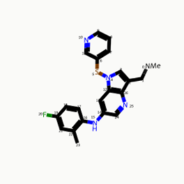 CNCc1cn(Sc2cccnc2)c2cc(Nc3ccc(F)cc3C)cnc12